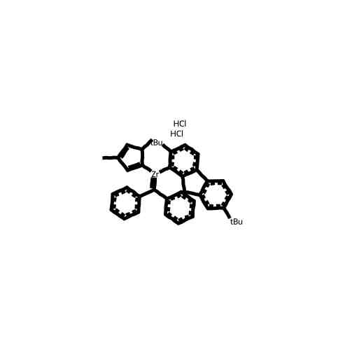 CC1=CC(C)[C]([Zr](=[C](c2ccccc2)c2ccccc2)[c]2c(C(C)(C)C)ccc3c2Cc2cc(C(C)(C)C)ccc2-3)=C1.Cl.Cl